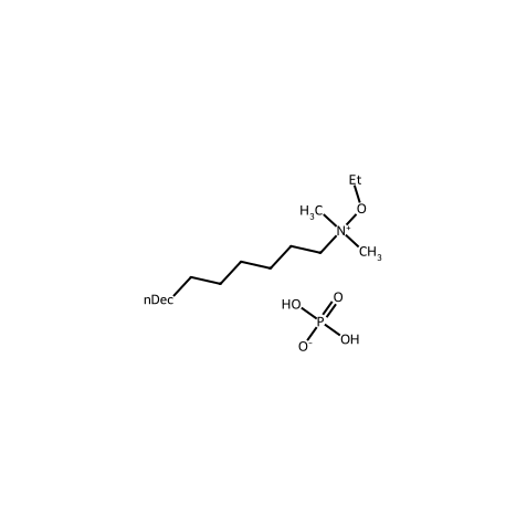 CCCCCCCCCCCCCCCC[N+](C)(C)OCC.O=P([O-])(O)O